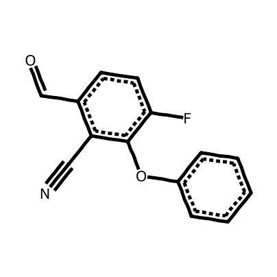 N#Cc1c(C=O)ccc(F)c1Oc1ccccc1